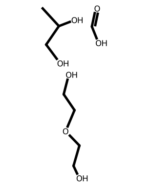 CC(O)CO.O=CO.OCCOCCO